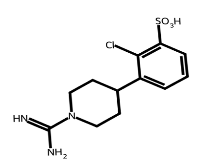 N=C(N)N1CCC(c2cccc(S(=O)(=O)O)c2Cl)CC1